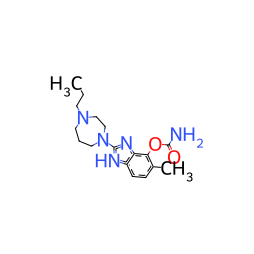 CCCN1CCCN(c2nc3c(OC(N)=O)c(C)ccc3[nH]2)CC1